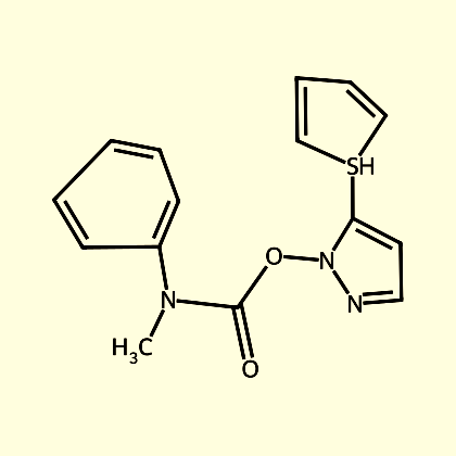 CN(C(=O)On1nccc1[SH]1C=CC=C1)c1ccccc1